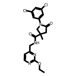 CCOc1nccc(CNC(=O)C2(C)CC(=O)N(c3cc(Cl)cc(Cl)c3)C2)n1